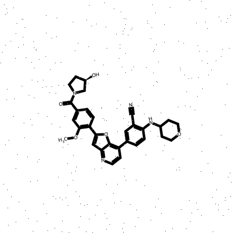 COc1cc(C(=O)N2CC[C@@H](O)C2)ccc1-c1cc2nccc(-c3ccc(NC4CCOCC4)c(C#N)c3)c2o1